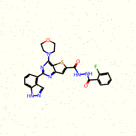 O=C(NNC(=O)c1ccccc1F)c1cc2nc(-c3cccc4[nH]ncc34)nc(N3CCOCC3)c2s1